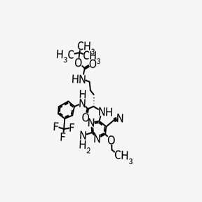 CCOc1nc(N)nc(N[C@@H](CCCNC(=O)OC(C)(C)C)C(=O)Nc2cccc(C(F)(F)F)c2)c1C#N